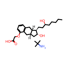 CC(C)(C)N.CCCCC[C@H](O)CC[C@@H]1[C@H]2Cc3cccc(OCC(=O)O)c3C[C@H]2C[C@H]1O